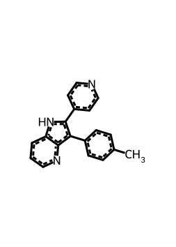 Cc1ccc(-c2c(-c3ccncc3)[nH]c3cccnc23)cc1